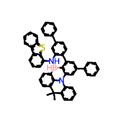 CC1(C)c2ccccc2N2c3cc(-c4ccccc4)cc(-c4ccc(-c5ccccc5)cc4Nc4cccc5c4sc4ccccc45)c3Bc3cccc1c32